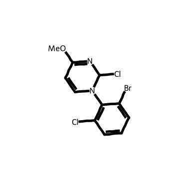 COC1=NC(Cl)N(c2c(Cl)cccc2Br)C=C1